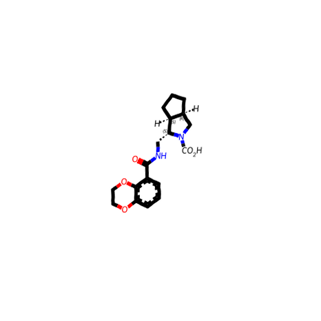 O=C(NC[C@@H]1[C@H]2CCC[C@H]2CN1C(=O)O)c1cccc2c1OCCO2